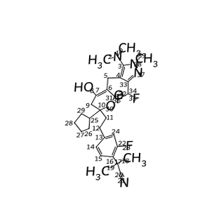 CN(C)c1c(CC2=C(O)CC(CCc3ccc(C(C)(C)C#N)c(F)c3)(C3CCCC3)OC2=O)c(C(F)F)nn1C